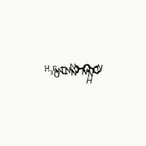 CC(=O)N1CCN(c2ncc(-c3ccc4c(n3)[nH]c3ccncc34)cn2)CC1